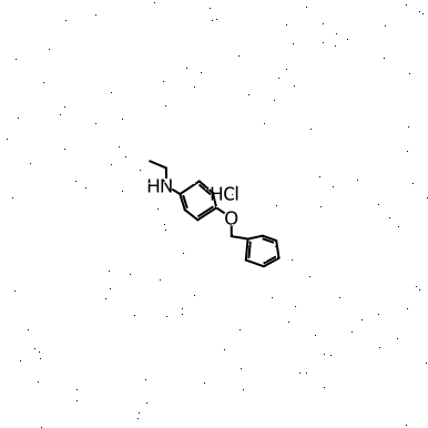 CCNc1ccc(OCc2ccccc2)cc1.Cl